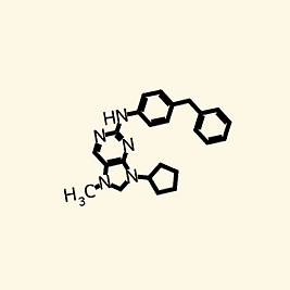 CN1CN(C2CCCC2)c2nc(Nc3ccc(Cc4ccccc4)cc3)ncc21